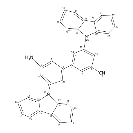 N#Cc1cc(-c2cc(N)cc(-n3c4ccccc4c4ccccc43)c2)cc(-n2c3ccccc3c3ccccc32)c1